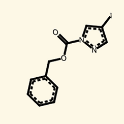 O=C(OCc1ccccc1)n1cc(I)cn1